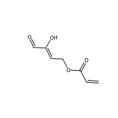 C=CC(=O)OCC=C(O)[C]=O